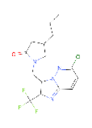 CCCC1CC(=O)N(CC2C(C(F)(F)F)N=C3C=CC(Cl)=NN32)C1